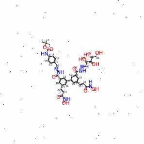 CC(C)(C)OC(=O)Nc1ccc(/C=N/NC(=O)c2cc(/C=C/C(=O)NO)cc(-c3cc(/C=C/C(=O)NO)cc(C(=O)N/N=C/[C@H](O)[C@@H](O)[C@H](O)CO)c3)c2)cc1